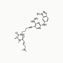 CCCNc1nc(Nc2ccc3cnn(CC)c3c2)ncc1C#CCCCNC(=O)[C@H](C)N(C)C(=O)/C=C/CN(C)C